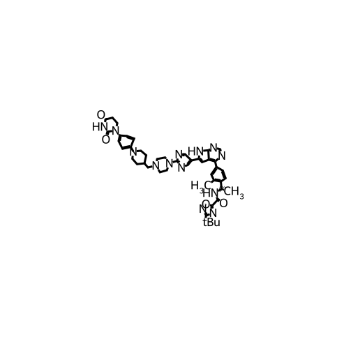 Cc1cc(-c2ncnc3[nH]c(-c4cnc(N5CCN(CC6CCN(c7ccc(N8CCC(=O)NC8=O)cc7)CC6)CC5)nc4)cc23)ccc1[C@@H](C)NC(=O)c1nc(C(C)(C)C)no1